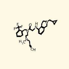 C#CCN(C)CCN(Cc1ccccc1C(F)(F)F)C(=O)CNc1cccc2c1CCN(CC1CC1)C2